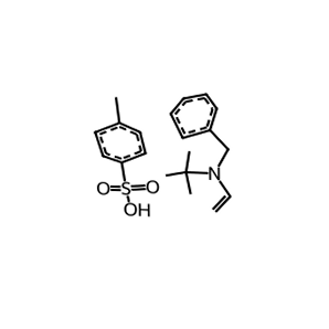 C=CN(Cc1ccccc1)C(C)(C)C.Cc1ccc(S(=O)(=O)O)cc1